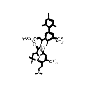 Cc1cc(C)c(-c2cc(C(CC(=O)O)NC(=O)C(CC(C)(C)F)n3cc(CCN(C)C)c(C(F)(F)F)cc3=O)c(F)c(C(F)(F)F)c2)c(C)c1